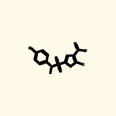 CN(c1ccc(Cl)cc1)S(=O)(=O)c1cc([N+](=O)[O-])c(Cl)s1